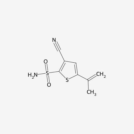 C=C(C)c1cc(C#N)c(S(N)(=O)=O)s1